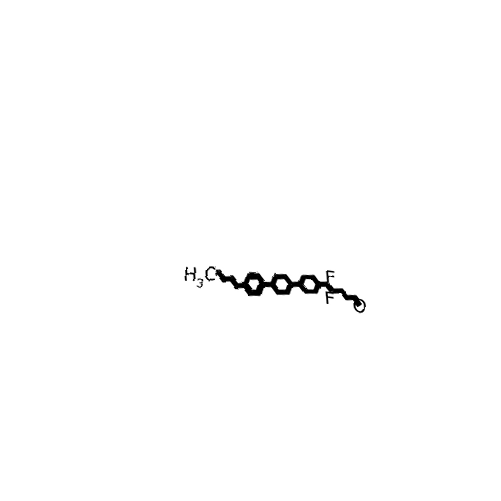 CCCCCc1ccc(C2CCC(C3CCC(C(F)=C(F)CCC=O)CC3)CC2)cc1